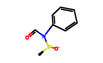 C[S@+]([O-])N(C=O)c1ccccc1